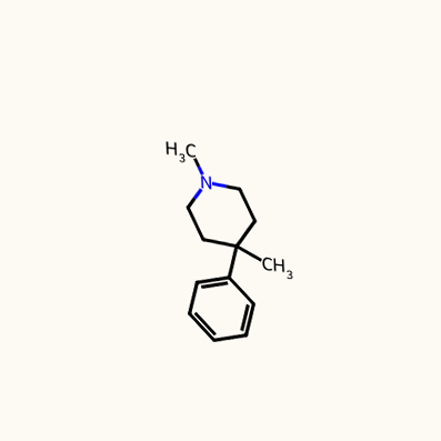 CN1CCC(C)(c2ccccc2)CC1